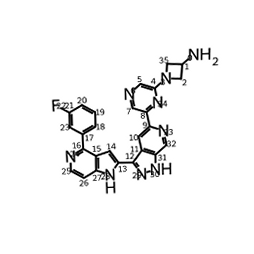 NC1CN(c2cncc(-c3cc4c(-c5cc6c(-c7cccc(F)c7)nccc6[nH]5)n[nH]c4cn3)n2)C1